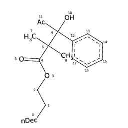 CCCCCCCCCCCCOC(=O)C(C)(C)C(O)(C(C)=O)c1ccccc1